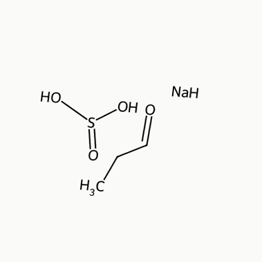 CCC=O.O=S(O)O.[NaH]